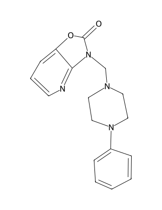 O=c1oc2cccnc2n1CN1CCN(c2ccccc2)CC1